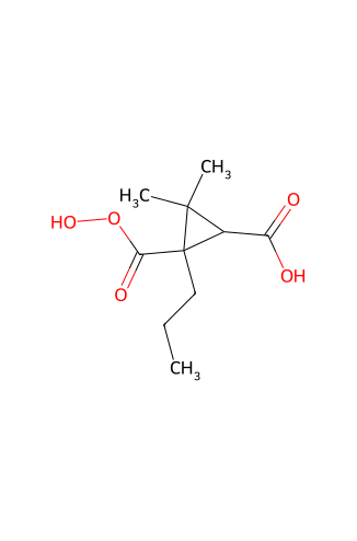 CCCC1(C(=O)OO)C(C(=O)O)C1(C)C